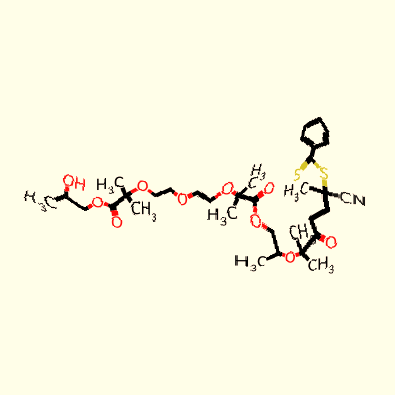 CC(O)COC(=O)C(C)(C)OCCOCCOC(C)(C)C(=O)OCC(C)OC(C)(C)C(=O)CCC(C)(C#N)SC(=S)c1ccccc1